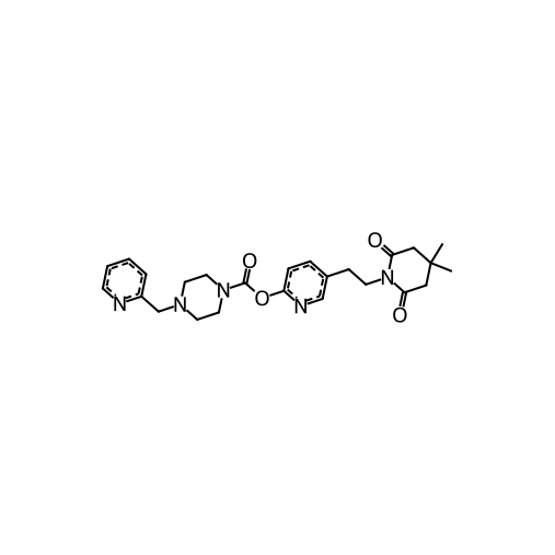 CC1(C)CC(=O)N(CCc2ccc(OC(=O)N3CCN(Cc4ccccn4)CC3)nc2)C(=O)C1